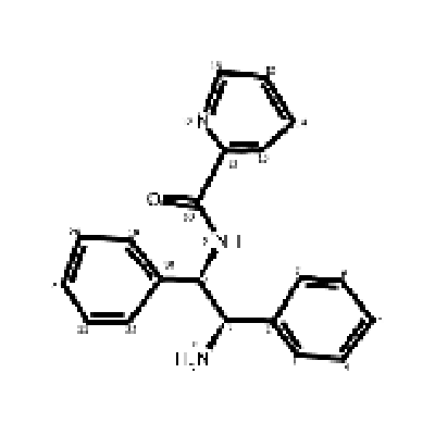 N[C@H](c1ccccc1)[C@H](NC(=O)c1ccccn1)c1ccccc1